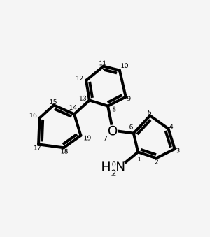 Nc1ccccc1Oc1cc[c]cc1-c1ccccc1